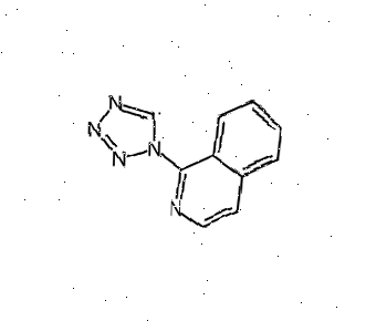 [c]1nnnn1-c1nccc2ccccc12